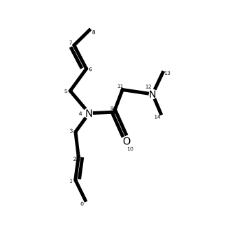 C/C=C/CN(C/C=C/C)C(=O)CN(C)C